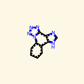 c1ccc2c(c1)c1[nH]cnc1c1nnnn21